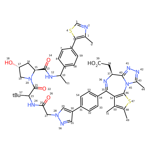 Cc1ncsc1-c1ccc(C(C)NC(=O)[C@@H]2C[C@@H](O)CN2C(=O)C(NC(=O)Cn2cc(-c3ccc(C4=N[C@@H](CC(=O)O)c5nnc(C)n5-c5sc(C)c(C)c54)cc3)cn2)C(C)(C)C)cc1